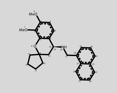 COc1ccc2c(c1OC)OC1(CCCC1)C[C@@H]2NCc1cccc2ccccc12